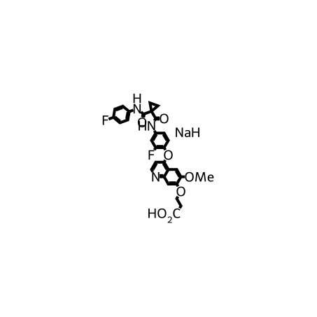 COc1cc2c(Oc3ccc(NC(=O)C4(C(=O)Nc5ccc(F)cc5)CC4)cc3F)ccnc2cc1OCCC(=O)O.[NaH]